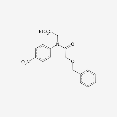 CCOC(=O)CN(C(=O)COCc1ccccc1)c1ccc([N+](=O)[O-])cc1